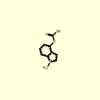 Cn1ccc2c(OC(=O)O)cccc21